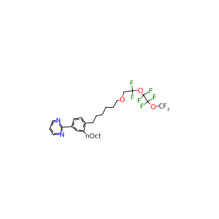 CCCCCCCCc1cc(-c2ncccn2)ccc1CCCCCCOCC(F)(F)OC(F)(F)C(F)(F)OC(F)(F)F